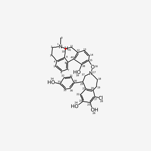 CN1CCc2cccc3c2[C@H]1Cc1ccc(ON2CCc4c(cc(O)c(O)c4Cl)C(c4ccc(O)cc4)C2)c(O)c1-3